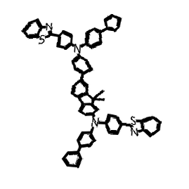 CC1(C)c2cc(-c3ccc(N(c4ccc(-c5ccccc5)cc4)c4ccc(-c5nc6ccccc6s5)cc4)cc3)ccc2-c2ccc(N(c3ccc(-c4ccccc4)cc3)c3ccc(-c4nc5ccccc5s4)cc3)cc21